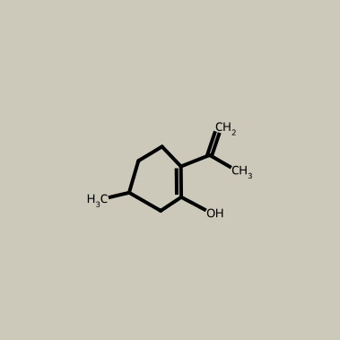 C=C(C)C1=C(O)CC(C)CC1